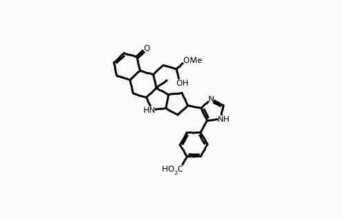 COC(O)CC1C2C(=O)C=CCC2CC2NC3CC(c4nc[nH]c4-c4ccc(C(=O)O)cc4)CC3C21C